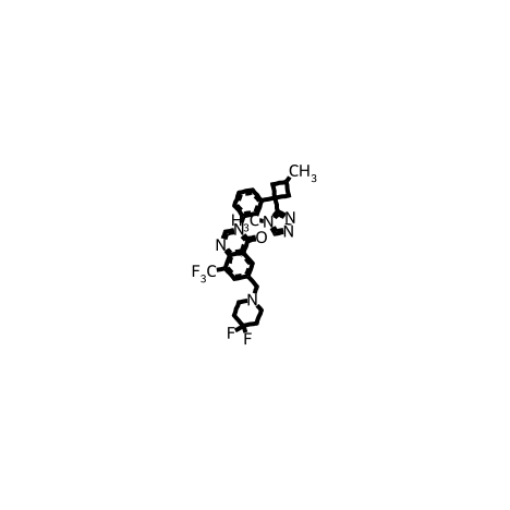 CC1CC(c2cccc(-n3cnc4c(C(F)(F)F)cc(CN5CCC(F)(F)CC5)cc4c3=O)c2)(c2nncn2C)C1